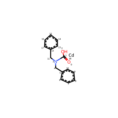 O=C(O)N(Cc1ccccc1)Cc1ccccc1.[Cd]